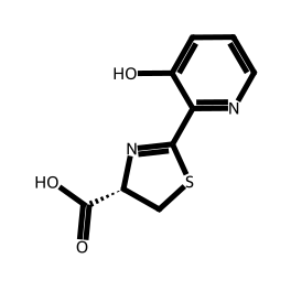 O=C(O)[C@H]1CSC(c2ncccc2O)=N1